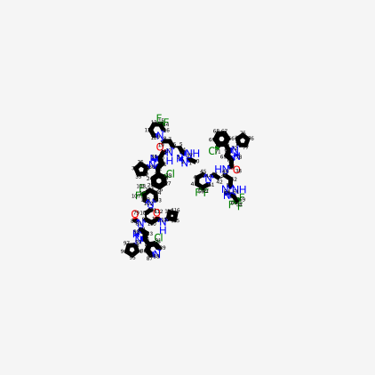 Cc1nnc(C[C@H](CCN2CCCC(F)(F)C2)NC(=O)c2cc(-c3ccccc3Cl)n(C3CCCC3)n2)[nH]1.O=C(N[C@@H](CCN1CCCC(F)(F)C1)Cc1nnc(C(F)(F)F)[nH]1)c1cc(-c2ccccc2Cl)n(C2CCCC2)n1.O=CN(c1cc(-c2ccncc2Cl)n(C2CCCC2)n1)[C@@H](CCN1CCCC(F)(F)C1)CC(=O)NC1CCC1